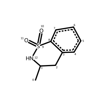 CC1Cc2ccccc2S(=O)(=O)N1